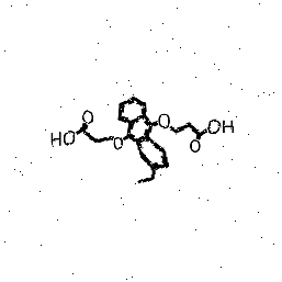 CCc1ccc2c(OCCC(=O)O)c3ccccc3c(OCCC(=O)O)c2c1